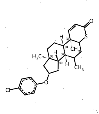 CC1CC2SC(=O)C=C[C@]2(C)[C@@H]2CC[C@]3(C)CC(Oc4ccc(Cl)cc4)C[C@H]3[C@H]12